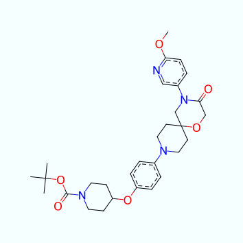 COc1ccc(N2CC3(CCN(c4ccc(OC5CCN(C(=O)OC(C)(C)C)CC5)cc4)CC3)OCC2=O)cn1